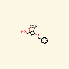 O=C(O)OC1(CO)CC(OCc2ccccc2)C1